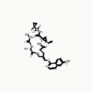 C=C[C@@H]1C[C@]1(NC(=O)CC/C(=C\Oc1nccc2cc(OC)ccc12)CNC(=O)[C@@H](NC(=O)NC(C)(C)C)C(C)(C)C)C(=O)NS(=O)(=O)C1(C)CC1